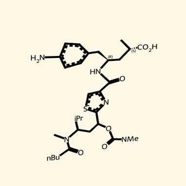 CCCCC(=O)N(C)C(CC(OC(=O)NC)c1nc(C(=O)N[C@@H](Cc2ccc(N)cc2)C[C@H](C)C(=O)O)cs1)C(C)C